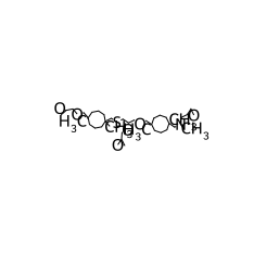 CN(CC1CO1)CC1(C)CCCC(C)(COCC(CSCC2(C)CCCC(C)(COCC3CO3)CCC2)OCC2CO2)CCC1